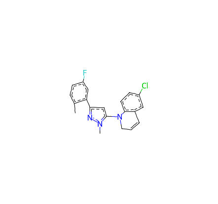 Cc1ccc(F)cc1-c1cc(N2CC=Cc3cc(Cl)ccc32)n(C)n1